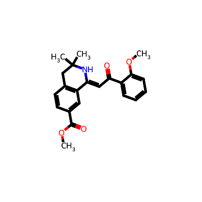 COC(=O)c1ccc2c(c1)/C(=C/C(=O)c1ccccc1OC)NC(C)(C)C2